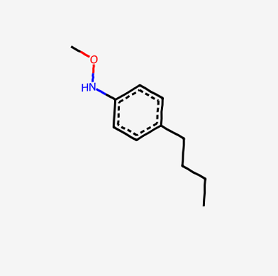 CCCCc1ccc(NOC)cc1